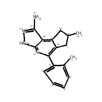 Cc1ccccc1-c1nc2[nH]nc(N)c2c2c1CC(C)C2